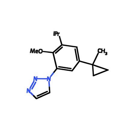 COc1c(C(C)C)cc(C2(C)CC2)cc1-n1ccnn1